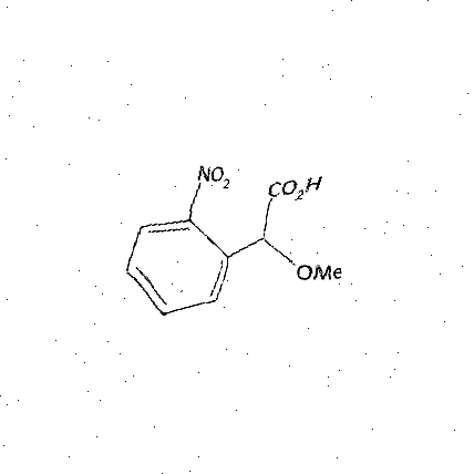 COC(C(=O)O)c1ccccc1[N+](=O)[O-]